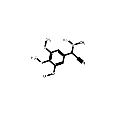 COc1cc(C(C#N)N(C)C)cc(OC)c1OC